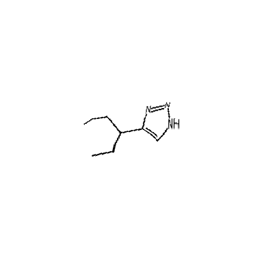 CCC(CC)c1c[nH]nn1